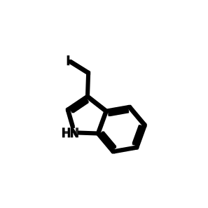 ICc1c[nH]c2ccccc12